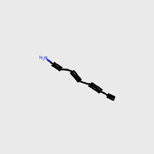 C#CC#CC#CC#CN